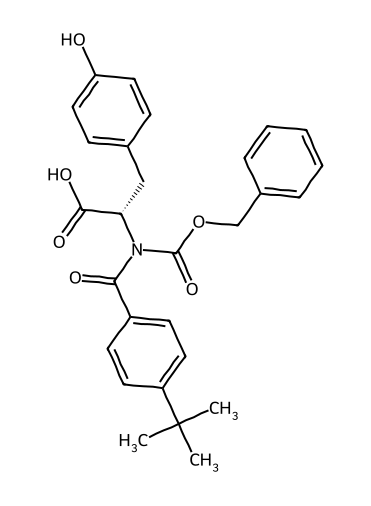 CC(C)(C)c1ccc(C(=O)N(C(=O)OCc2ccccc2)[C@@H](Cc2ccc(O)cc2)C(=O)O)cc1